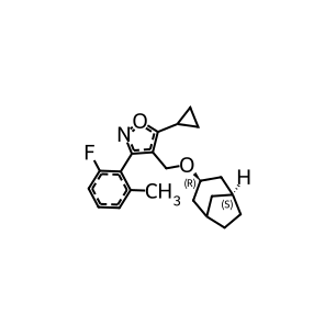 Cc1cccc(F)c1-c1noc(C2CC2)c1CO[C@@H]1CC2CC[C@@H](C2)C1